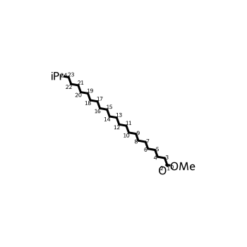 COC(=O)CCCCCCCCCCCCCCCCCCCCCC(C)C